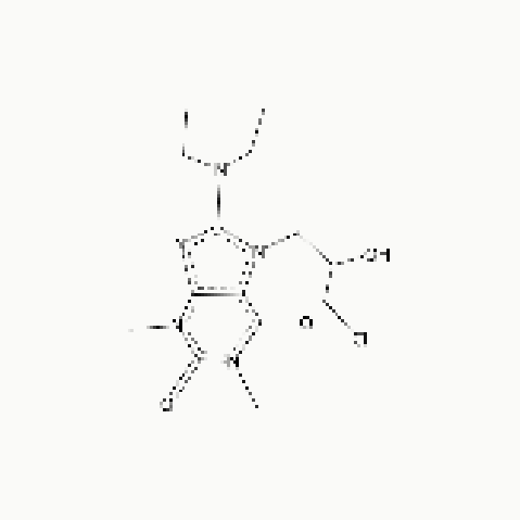 CCN(CC)c1nc2c(c(=O)n(C)c(=O)n2C)n1CC(O)CCl